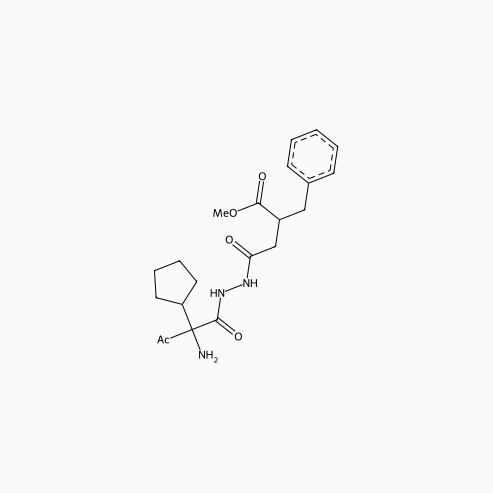 COC(=O)C(CC(=O)NNC(=O)C(N)(C(C)=O)C1CCCC1)Cc1ccccc1